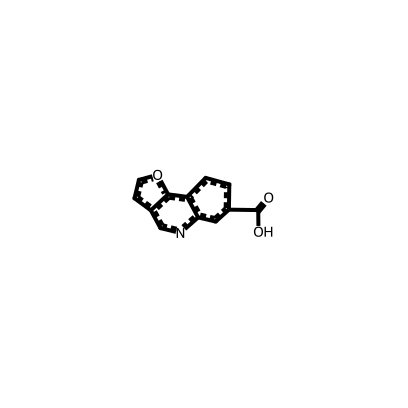 O=C(O)c1ccc2c(c1)ncc1ccoc12